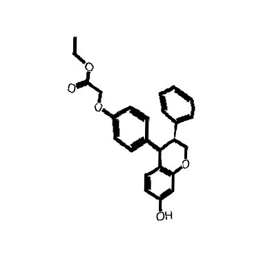 CCOC(=O)COc1ccc(C2c3ccc(O)cc3OC[C@@H]2c2ccccc2)cc1